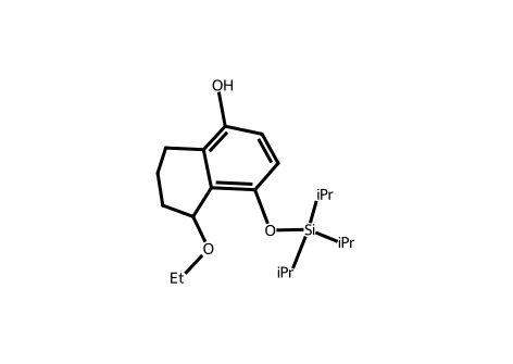 CCOC1CCCc2c(O)ccc(O[Si](C(C)C)(C(C)C)C(C)C)c21